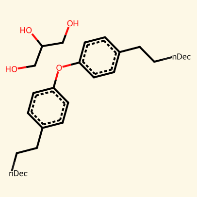 CCCCCCCCCCCCc1ccc(Oc2ccc(CCCCCCCCCCCC)cc2)cc1.OCC(O)CO